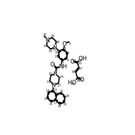 COc1ccc(NC(=O)N2CCN(c3cccc4ccccc34)CC2)cc1N1CCN(C)CC1.O=C(O)/C=C/C(=O)O